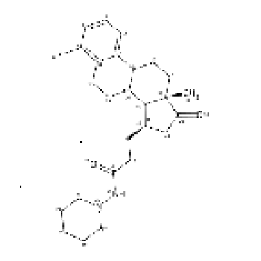 C[C@]12CCC3c4cccc(F)c4CCC3C1[C@H](CCC(=O)NN1CCCCC1)CC2=O